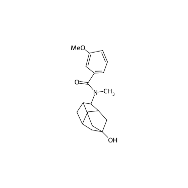 COc1cccc(C(=O)N(C)C2C3CC4CC2CC(O)(C4)C3)c1